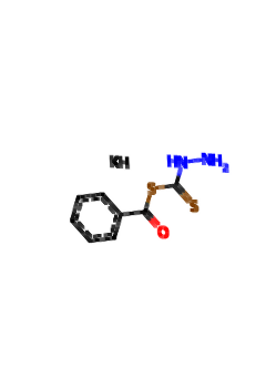 NNC(=S)SC(=O)c1ccccc1.[KH]